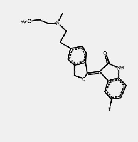 COCCN(C)CCc1ccc2c(c1)COC2=C1C(=O)Nc2ccc(F)cc21